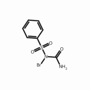 NC(=O)N(Br)S(=O)(=O)c1ccccc1